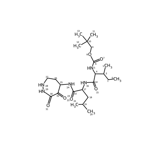 CCC(C)C(NC(=O)OCC(C)(C)C)C(=O)NC(CC(C)C)C(=O)NC1CCNNC(=O)C1=O